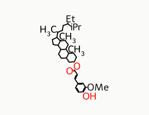 CCC(CCC(C)C1CCC2C3CCC4CC(OC(=O)C=Cc5ccc(O)c(OC)c5)CCC4(C)C3CCC12C)C(C)C